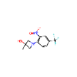 CC1(O)CN(c2ccc(C(F)(F)F)cc2[N+](=O)[O-])C1